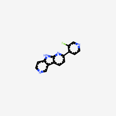 Fc1cnccc1-c1ccc2c(n1)[nH]c1ccncc12